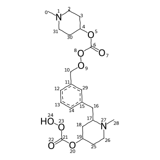 CN1CCC(OC(=O)OOCc2cccc(CC3CC(OC(=O)OO)CCN3C)c2)CC1